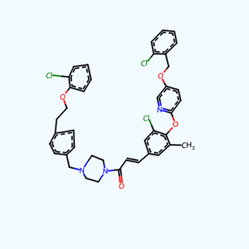 Cc1cc(/C=C/C(=O)N2CCN(Cc3ccc(CCOc4ccccc4Cl)cc3)CC2)cc(Cl)c1Oc1ccc(OCc2ccccc2Cl)cn1